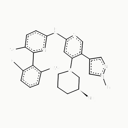 COc1cccc(F)c1-c1nc(Nc2cc(N3CCC[C@H](N)C3)c(-c3cnn(C(C)C)c3)cn2)ccc1C#N